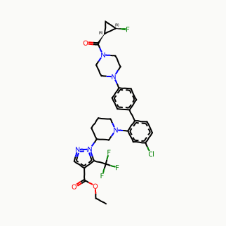 CCOC(=O)c1cnn(C2CCCN(c3cc(Cl)ccc3-c3ccc(N4CCN(C(=O)[C@H]5C[C@H]5F)CC4)cc3)C2)c1C(F)(F)F